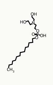 CCCCCCCCCCCCCCOP(=O)(O)OCCN(CCO)CCO